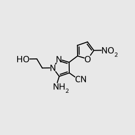 N#Cc1c(-c2ccc([N+](=O)[O-])o2)nn(CCO)c1N